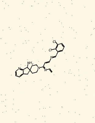 C=C\N=C(/C=C/N=C/c1cccc(Cl)c1Cl)N1CCC2(CC1)Cc1cccnc1C2N